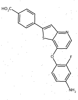 Nc1ccc(Oc2ccnc3cc(-c4ccc(C(=O)O)cc4)sc23)c(F)c1